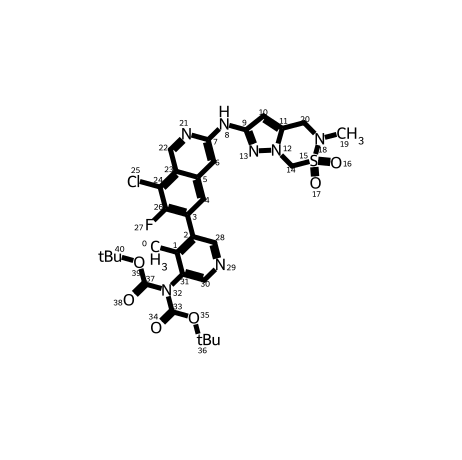 Cc1c(-c2cc3cc(Nc4cc5n(n4)CS(=O)(=O)N(C)C5)ncc3c(Cl)c2F)cncc1N(C(=O)OC(C)(C)C)C(=O)OC(C)(C)C